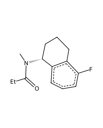 CCC(=O)N(C)[C@@H]1CCCc2c(F)cccc21